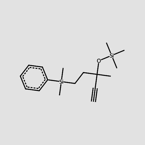 C#CC(C)(CC[Si](C)(C)c1ccccc1)O[Si](C)(C)C